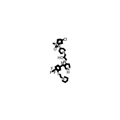 Cn1c(=O)n(C2CCN(CC(O)Cn3nc(-c4ccc(C(F)(F)F)c(SCCN5CCCCC5)c4)c4c3CCNC4)CC2)c2cc(Cl)ccc21